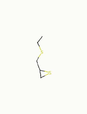 CCSCC1CS1